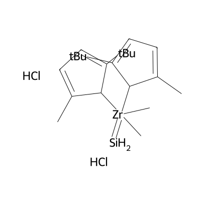 CC1=CC=C(C(C)(C)C)[CH]1[Zr]([CH3])([CH3])(=[SiH2])[CH]1C(C)=CC=C1C(C)(C)C.Cl.Cl